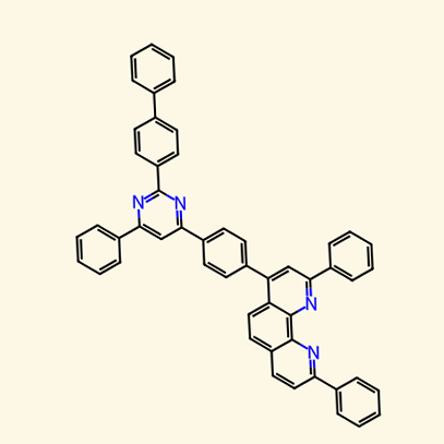 c1ccc(-c2ccc(-c3nc(-c4ccccc4)cc(-c4ccc(-c5cc(-c6ccccc6)nc6c5ccc5ccc(-c7ccccc7)nc56)cc4)n3)cc2)cc1